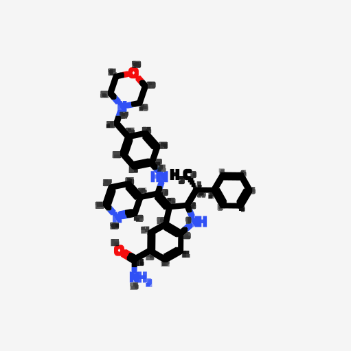 C[C@H](c1ccccc1)C1Nc2ccc(C(N)=O)cc2C1=C(Nc1ccc(CN2CCOCC2)cc1)c1cccnc1